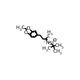 C/C(CCc1ccc2c(c1)OC(C)O2)=N\[S@+]([O-])C(C)(C)C